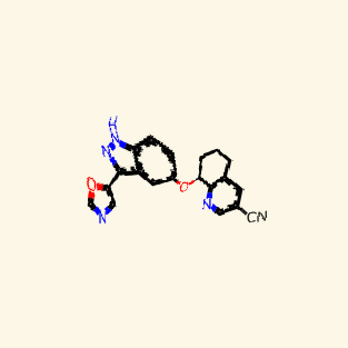 N#Cc1cnc2c(c1)CCC[C@@H]2Oc1ccc2[nH]nc(-c3cnco3)c2c1